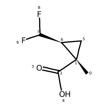 C[C@]1(C(=O)O)C[C@@H]1C(F)F